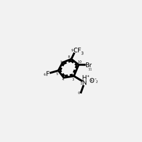 C[NH+]([O-])c1cc(F)cc(C(F)(F)F)c1Br